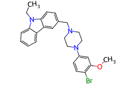 CCn1c2ccccc2c2cc(CN3CCN(c4ccc(Br)c(OC)c4)CC3)ccc21